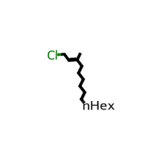 CCCCCCCCCCCCC(C)=CCCl